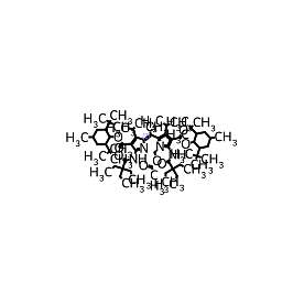 CCC(CC)(CC)C(=O)NC1=N/C(=C(/C)c2c(C(C)C)c(C(=O)OC3C(C(C)(C)C)CC(C)CC3C(C)(C)C)c(NC(=O)C(CC)(CC)CC)n2COC(C)=O)C(C(C)C)=C1C(=O)OC1C(C(C)(C)C)CC(C)CC1C(C)(C)C